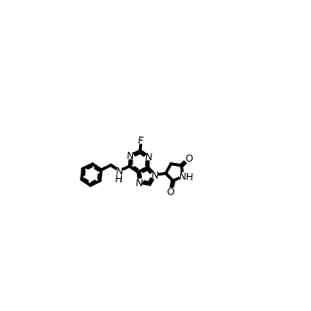 O=C1CC(n2cnc3c(NCc4ccccc4)nc(F)nc32)C(=O)N1